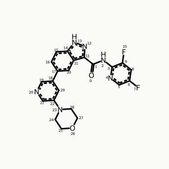 O=C(Nc1ncc(F)cc1F)c1n[nH]c2ccc(-c3cncc(N4CCOCC4)c3)cc12